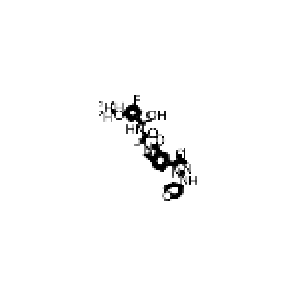 [2H]C([2H])([2H])Oc1cc(F)cc([C@@H](CO)NC(=O)[C@@H](C)N2Cc3ccc(-c4nc(NC5CCOCC5)ncc4Cl)cc3C2=O)c1